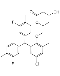 Cc1ccc(C(c2ccc(C)c(F)c2)c2cc(Cl)cc(C)c2OCC2CC(O)CC(=O)O2)cc1F